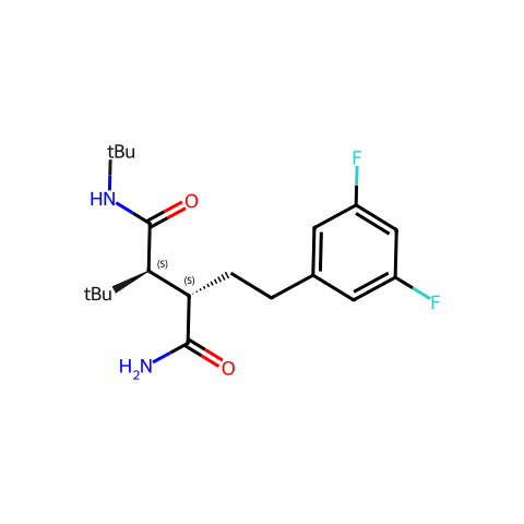 CC(C)(C)NC(=O)[C@@H]([C@H](CCc1cc(F)cc(F)c1)C(N)=O)C(C)(C)C